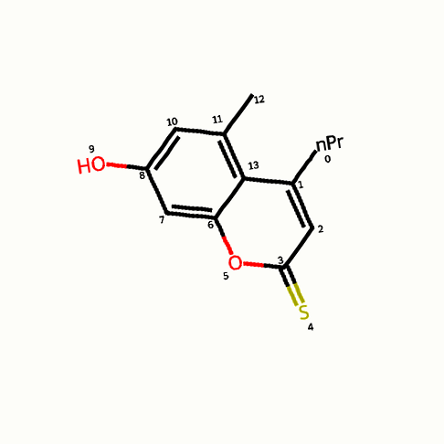 CCCc1cc(=S)oc2cc(O)cc(C)c12